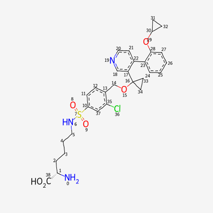 N[C@@H](CCCCNS(=O)(=O)c1ccc(COC2(c3cnccc3-c3ccccc3OC3CC3)CC2)c(Cl)c1)C(=O)O